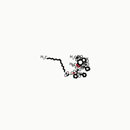 CCCCCCCC/C=C\CCCCCCC[C@H]1OC[C@@H](COC(=O)O[C@@H](C(=O)O[C@H]2C[C@@]3(O)[C@@H](OC(=O)c4ccccc4)[C@@H]4[C@]5(OC(C)=O)CO[C@@H]5C[C@H](O)[C@@]4(C)C(=O)[C@H](OC(C)=O)C(=C2C)C3(C)C)[C@@H](NC(=O)c2ccccc2)c2ccccc2)O1